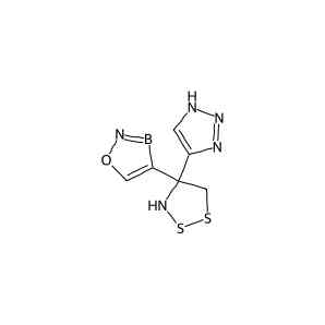 b1nocc1C1(c2c[nH]nn2)CSSN1